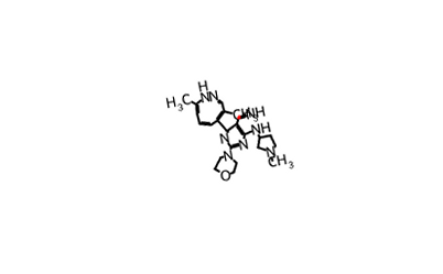 Cc1cccc(-c2nc(N3CCOCC3)nc(NC3CCN(C)C3)c2C=N)c(C)cn[nH]1